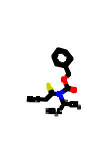 CSCC(=S)N(C(=O)OCc1ccccc1)[C@@H](C)C(=O)O